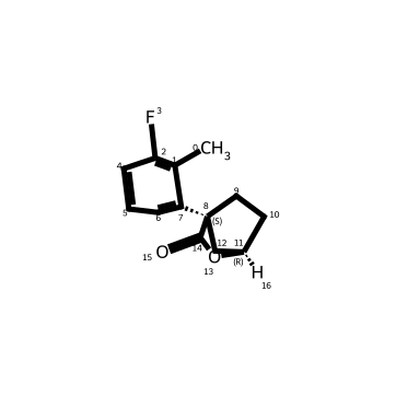 Cc1c(F)cccc1[C@]12CC[C@H](C1)OC2=O